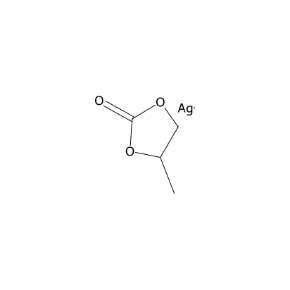 CC1COC(=O)O1.[Ag]